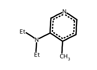 CCN(CC)c1cnccc1C